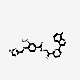 COc1cc(C(=O)NCC(=O)c2cccc(-c3csc4c(F)cccc34)n2)ccc1OCc1nc[nH]n1